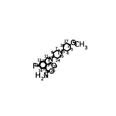 COC1CCC(N2CCC(N3Cc4cc(F)cc(C(N)=O)c4C3=O)CC2)CC1